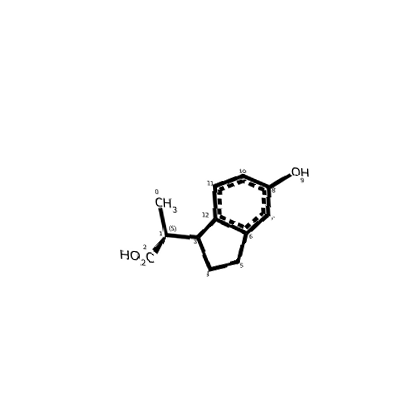 C[C@H](C(=O)O)C1CCc2cc(O)ccc21